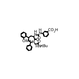 COc1ccccc1C1CC(NC(=O)Nc2cccc(C(=O)O)c2)C(=O)N(CC(=O)NC(C)(C)C)C(c2ccccc2)C1